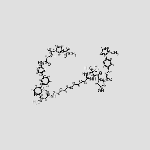 Cc1ncsc1-c1ccc(CNC(=O)[C@@H]2CC(O)CN2C(=O)[C@@H](NC(=O)COCCOCCOCCNC(=O)CN(C)c2cc(-c3cccc(-c4csc(NC(=O)CNC(=O)c5ccn(S(C)(=O)=O)c5)n4)c3)ccn2)C(C)(C)C)cc1